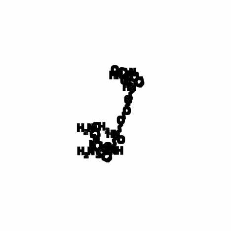 CC1(N)CCN(c2ccc(Sc3cccc(NC(=O)CCC(=O)NCCCOCCOCCOCCCNc4cccc5cnn(C6CCC(=O)NC6=O)c(=O)c45)c3Cl)c(N)n2)CC1